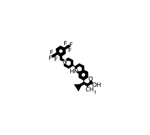 C[C@H](C(=O)O)[C@H](c1ccc2c(c1)N[C@@H](C1CCN(Cc3cc(C(F)(F)F)ccc3C(F)(F)F)CC1)CC2)C1CC1